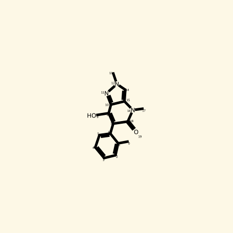 Cc1ccccc1-c1c(O)c2nn(C)cc2n(C)c1=O